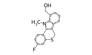 Cn1c2c(c3cccc(CO)c31)CSc1cc(F)ccc1-2